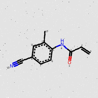 C=CC(=O)Nc1ccc(C#N)cc1C